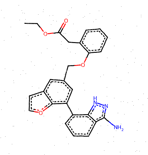 CCOC(=O)Cc1ccccc1OCc1cc(-c2cccc3c(N)n[nH]c23)c2occc2c1